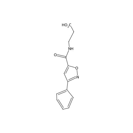 O=C(O)CCNC(=O)c1cc(-c2ccccc2)no1